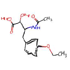 CCOc1cccc(CC(NC(C)=O)C(O)C(=O)O)c1